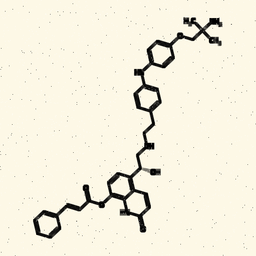 CC(C)(N)COc1ccc(Nc2ccc(CCNC[C@H](O)c3ccc(OC(=O)/C=C/c4ccccc4)c4[nH]c(=O)ccc34)cc2)cc1